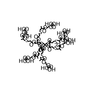 CC(CSCCC(=O)OCC(COCC(COC(=O)CCSCC(C)C(=O)OCCOP(=O)(O)O)(COC(=O)CCSCC(C)C(=O)OCCOP(=O)(O)O)COC(=O)CCSCC(C)C(=O)OCCOP(=O)(O)O)(COC(=O)CCSCC(C)C(=O)OCCOP(=O)(O)O)COC(=O)CCSCC(C)C(=O)OCCOP(=O)(O)O)C(=O)NC(C)(C)CS(=O)(=O)O